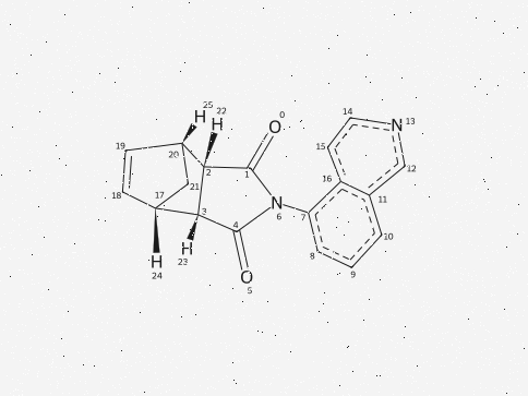 O=C1[C@@H]2[C@H](C(=O)N1c1cccc3cnccc13)[C@@H]1C=C[C@H]2C1